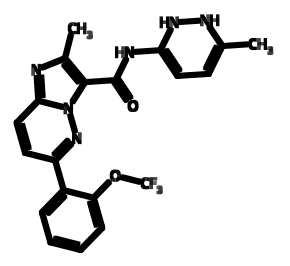 CC1=CC=C(NC(=O)c2c(C)nc3ccc(-c4ccccc4OC(F)(F)F)nn23)NN1